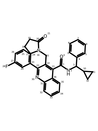 O=C(NC(c1ccccc1)C1CC1)c1c(CN2CCCC2=O)c(-c2cccc(F)c2)nc2ccccc12